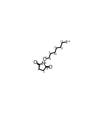 O=C1CCC(=O)N1OCCCCCCI